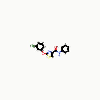 O=C(Nc1ccccc1)c1csc(Oc2cccc(Cl)c2)n1